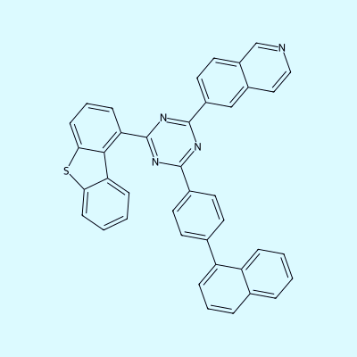 c1ccc2c(-c3ccc(-c4nc(-c5ccc6cnccc6c5)nc(-c5cccc6sc7ccccc7c56)n4)cc3)cccc2c1